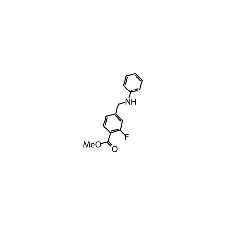 COC(=O)c1ccc(CNc2ccccc2)cc1F